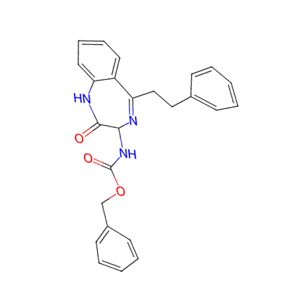 O=C(NC1N=C(CCc2ccccc2)c2ccccc2NC1=O)OCc1ccccc1